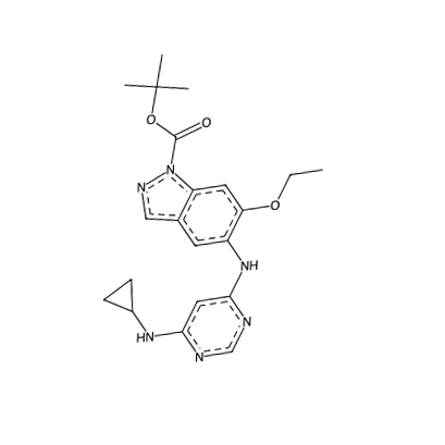 CCOc1cc2c(cnn2C(=O)OC(C)(C)C)cc1Nc1cc(NC2CC2)ncn1